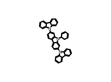 C1=CCC(n2c3cc(-n4c5ccccc5c5ccccc54)ccc3c3ccc(-n4c5ccccc5c5ccccc54)cc32)C=C1